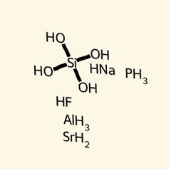 F.O[Si](O)(O)O.P.[AlH3].[NaH].[SrH2]